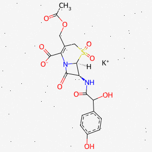 CC(=O)OCC1=C(C(=O)[O-])N2C(=O)[C@H](NC(=O)C(O)c3ccc(O)cc3)[C@@H]2S(=O)(=O)C1.[K+]